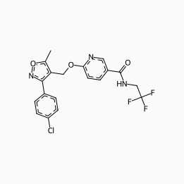 Cc1onc(-c2ccc(Cl)cc2)c1COc1ccc(C(=O)NCC(F)(F)F)cn1